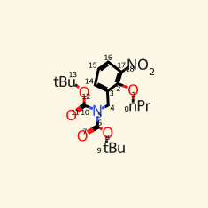 CCCOc1c(CN(C(=O)OC(C)(C)C)C(=O)OC(C)(C)C)cccc1[N+](=O)[O-]